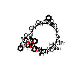 CC[C@H](C)[C@@H]1NC(=O)[C@H](CC(C)C)N(C)C[C@H](C)N(C)C(=O)[C@H]([C@@H](C)O)NC(=O)[C@H](Cc2ccccc2)N(C)C(=O)[C@H](C)N(C)C(=O)[C@@H](C)N(C)C(=O)C[C@@H](C(=O)N(C)[C@@H](Cc2ccccc2)C(=O)N(C)[C@@H](Cc2ccccc2)C(=O)N[C@@H](C)C(=O)N2CCCCC2)NC(=O)[C@H](C(C)C)N(C)C(O)[C@H](CC(C)C)N(C)C1=O